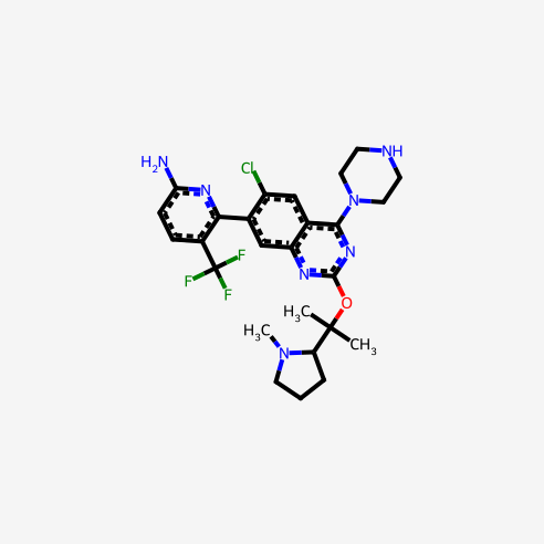 CN1CCCC1C(C)(C)Oc1nc(N2CCNCC2)c2cc(Cl)c(-c3nc(N)ccc3C(F)(F)F)cc2n1